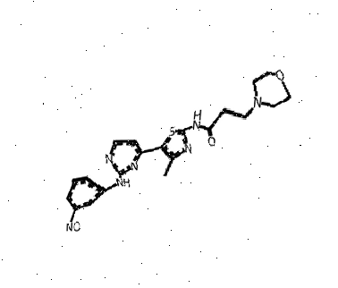 Cc1nc(NC(=O)CCN2CCOCC2)sc1-c1ccnc(Nc2cccc(N=O)c2)n1